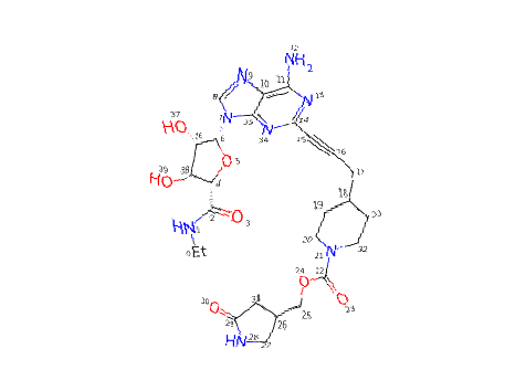 CCNC(=O)[C@H]1O[C@@H](n2cnc3c(N)nc(C#CCC4CCN(C(=O)OCC5CNC(=O)C5)CC4)nc32)[C@@H](O)C1O